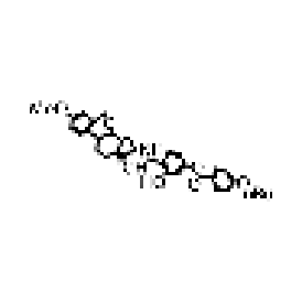 CCCCOc1ccc(C(=O)Oc2ccc(CN[C@H]3CC4C5CCc6cc(OC)ccc6C5CC[C@]4(C)[C@H]3O)c(O)c2)cc1